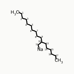 CCCCCCCCCCC([CH2][Na])CCCCCC